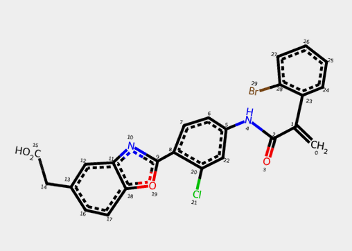 C=C(C(=O)Nc1ccc(-c2nc3cc(CC(=O)O)ccc3o2)c(Cl)c1)c1ccccc1Br